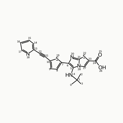 CC(C)(C)Nc1c(-c2ccc(C#Cc3ccccn3)s2)nc2sc(C(=O)O)cn12